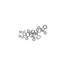 CC1=C(C)C(=O)C(CN2C(=O)C3CCCC3N(C(=O)CN3C(=O)c4ccccc4C3=O)c3ccccc32)=C(C)C1=O